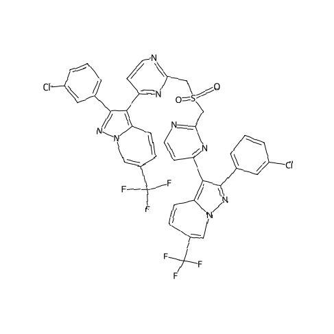 O=S(=O)(Cc1nccc(-c2c(-c3cccc(Cl)c3)nn3cc(C(F)(F)F)ccc23)n1)Cc1nccc(-c2c(-c3cccc(Cl)c3)nn3cc(C(F)(F)F)ccc23)n1